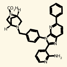 Nc1ncccc1-c1nc2ccc(-c3ccccc3)nc2n1-c1ccc(CN2C[C@@H]3C[C@H]2CN3C(=O)O)cc1